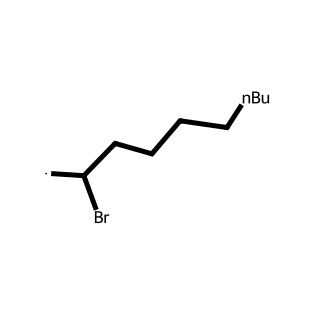 [CH2]C(Br)CCCCCCCC